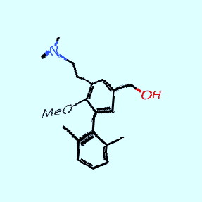 COc1c(CCN(C)C)cc(CO)cc1-c1c(C)cccc1C